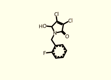 O=C1C(Cl)=C(Cl)C(O)N1Cc1ccccc1F